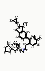 C=CN(CC1(C)CCCC1)/N=C\Cc1ccc(F)nc1-c1ccc2c(c1)C(=O)N(C1CC1)C2